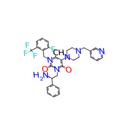 Cc1c(N2CCN(Cc3cccnc3)CC2)c(=O)n(C[C@H](N)c2ccccc2)c(=O)n1Cc1c(F)cccc1C(F)(F)F